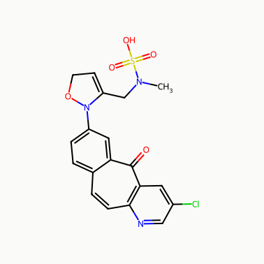 CN(CC1=CCON1c1ccc2ccc3ncc(Cl)cc3c(=O)c2c1)S(=O)(=O)O